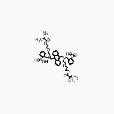 C=C(C)C(=O)OCCOCCN(Cc1ccccc1B(O)O)Cc1c2ccccc2c(CN(CCOCCOC(=O)C(=C)C)Cc2ccccc2B(O)O)c2ccccc12